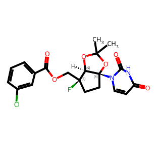 CC1(C)O[C@@H]2[C@@](F)(COC(=O)c3cccc(Cl)c3)CC[C@@]2(n2ccc(=O)[nH]c2=O)O1